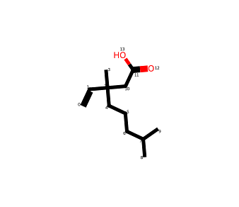 C=CC(C)(CCCC(C)C)CC(=O)O